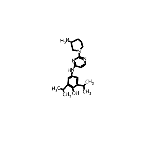 CC(C)c1cc(Nc2ccnc(N3CCC[C@H](N)C3)n2)cc(C(C)C)c1O